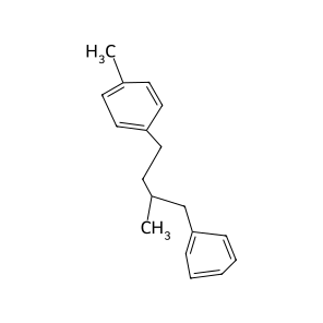 Cc1ccc(CCC(C)Cc2ccccc2)cc1